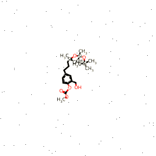 COC(=O)Oc1ccc(CCC[Si](C)(C)O[Si](C)(C)O[Si](C)(C)C)cc1CO